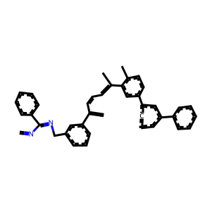 C=N/C(=N\Cc1cccc(C(=C)/C=C\C=C(/C)c2cc(-c3cccc(-c4ccccc4)c3)ccc2C)c1)c1ccccc1